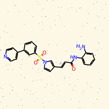 Nc1ccccc1NC(=O)/C=C/c1ccn(S(=O)(=O)c2cccc(-c3ccncc3)c2)c1